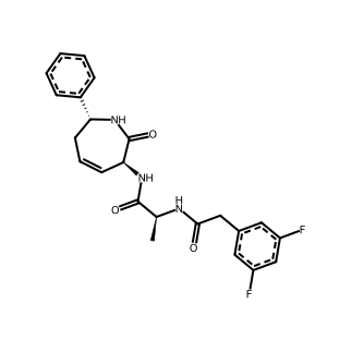 C[C@H](NC(=O)Cc1cc(F)cc(F)c1)C(=O)N[C@H]1C=CC[C@H](c2ccccc2)NC1=O